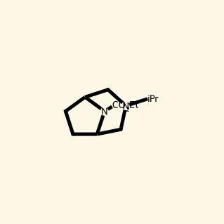 CCOC(=O)N1C2CCC1CN(C(C)C)C2